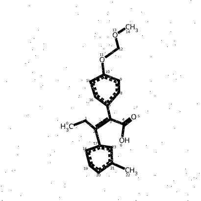 CC/C(=C(/C(=O)O)c1ccc(OCOC)cc1)c1cccc(C)c1